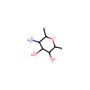 CC1OC(C)C(O)C(O)C1N